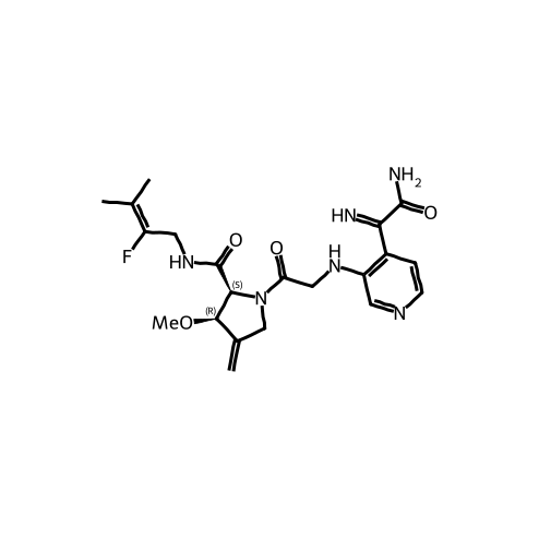 C=C1CN(C(=O)CNc2cnccc2C(=N)C(N)=O)[C@H](C(=O)NCC(F)=C(C)C)[C@@H]1OC